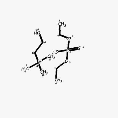 CCOP(=S)([S-])OCC.C[N+](C)(C)CCO